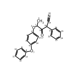 CC(Oc1ccc(Oc2ccccc2)cc1)C(=O)C(C#N)c1ccccc1